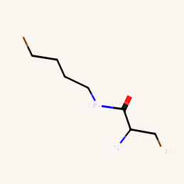 NC(CS)C(=O)NCCCCS